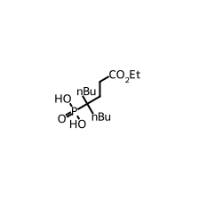 CCCCC(CCCC)(CCC(=O)OCC)P(=O)(O)O